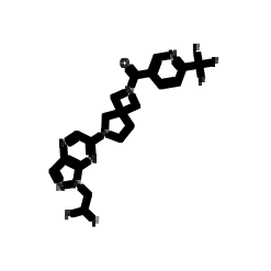 O=C(c1ccc(C(F)(F)F)nc1)N1CC2(CCN(c3cnc4cnn(CC(F)F)c4n3)C2)C1